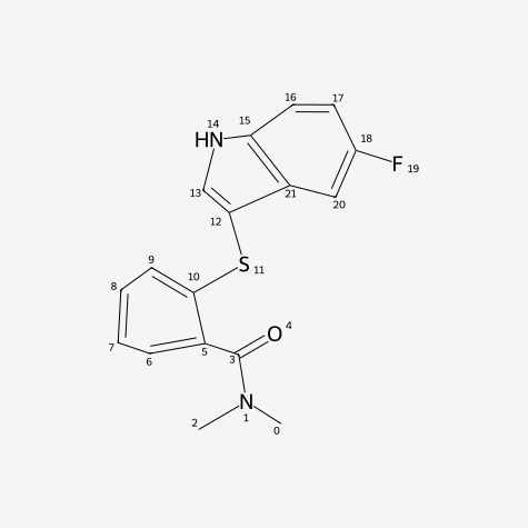 CN(C)C(=O)c1ccccc1Sc1c[nH]c2ccc(F)cc12